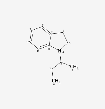 CCC(C)N1CCc2ccccc21